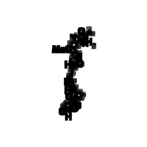 COc1cc2ncc(C(=O)NC3CC3)c(N)c2cc1-c1ccc(C(=O)NCCCCn2cc(CNc3cccc4c3C(=O)N(C3CCC(=O)NC3=O)C4=O)nn2)nc1